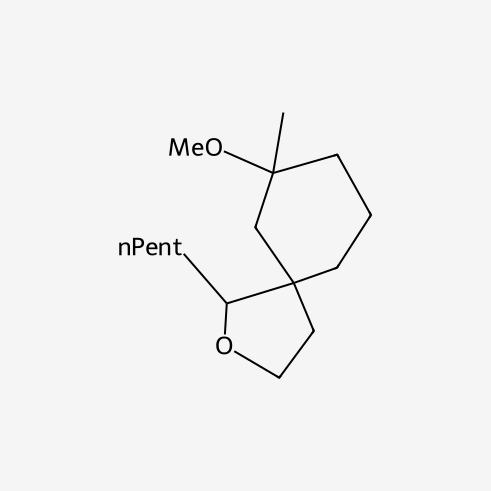 CCCCCC1OCCC12CCCC(C)(OC)C2